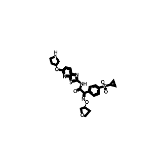 O=C(Nc1nc2ccc(O[C@@H]3CCNC3)nc2s1)/C(=N/O[C@@H]1CCOC1)c1ccc(S(=O)(=O)C2CC2)cc1